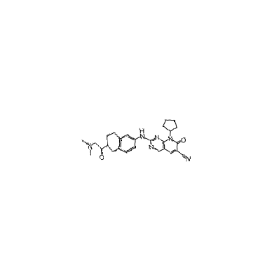 CN(C)CC(=O)C1CCc2cc(Nc3ncc4cc(C#N)c(=O)n(C5CCCC5)c4n3)ccc2C1